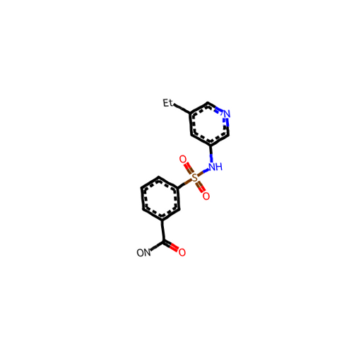 CCc1cncc(NS(=O)(=O)c2cccc(C(=O)N=O)c2)c1